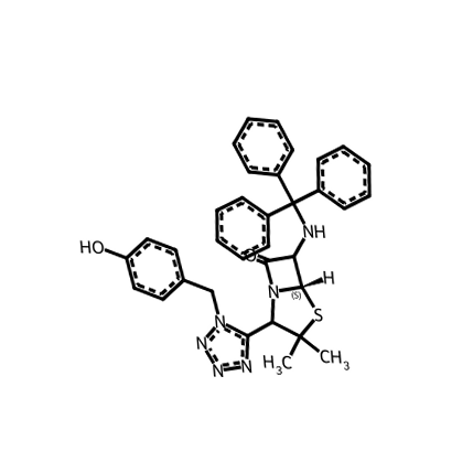 CC1(C)S[C@H]2C(NC(c3ccccc3)(c3ccccc3)c3ccccc3)C(=O)N2C1c1nnnn1Cc1ccc(O)cc1